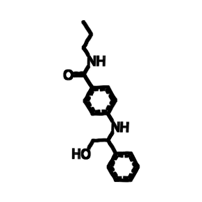 CCCNC(=O)c1ccc(NC(CO)c2ccccc2)cc1